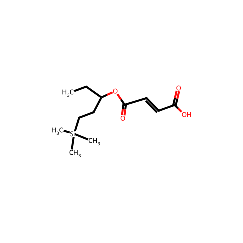 CCC(CC[Si](C)(C)C)OC(=O)/C=C/C(=O)O